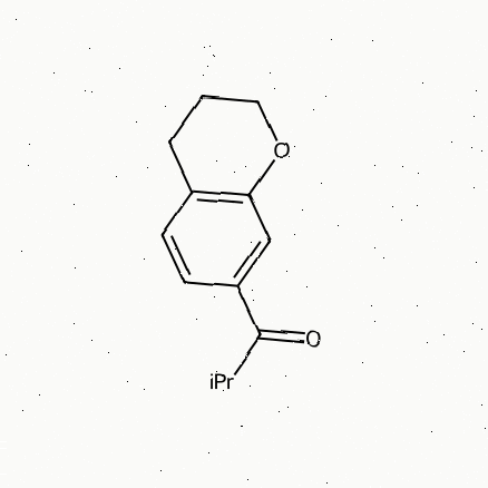 CC(C)C(=O)c1ccc2c(c1)OCCC2